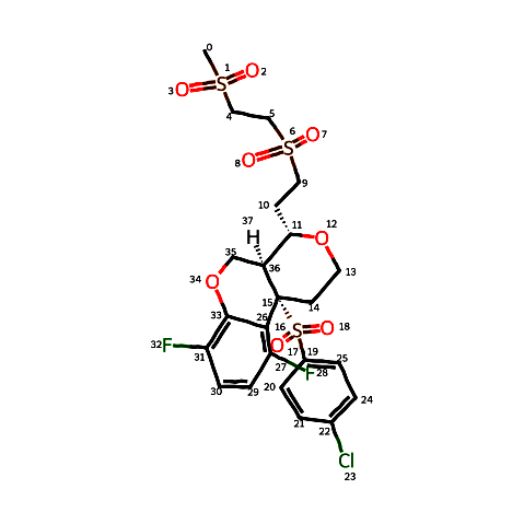 CS(=O)(=O)CCS(=O)(=O)CC[C@@H]1OCC[C@@]2(S(=O)(=O)c3ccc(Cl)cc3)c3c(F)ccc(F)c3OC[C@@H]12